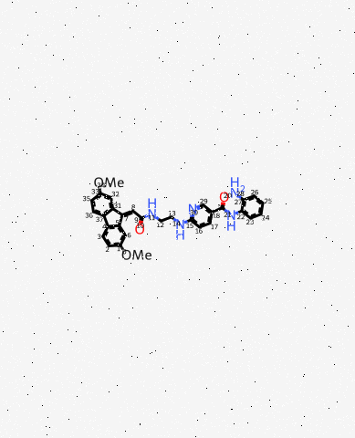 COc1ccc2c(c1)C(=CC(=O)NCCNc1ccc(C(=O)Nc3ccccc3N)cn1)c1cc(OC)ccc1-2